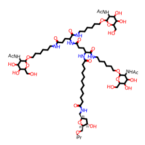 CC(=O)NC1C(OCCCCCCNC(=O)CCC(NC(=O)CCC(NC(=O)CCCCCCCCCCC(=O)NC[C@H]2C[C@H](O)[C@@H](COC(C)C)O2)C(=O)NCCCCCCOC2OC(CO)C(O)C(O)C2NC(C)=O)C(=O)NCCCCCCOC2OC(CO)C(O)C(O)C2NC(C)=O)OC(CO)C(O)C1O